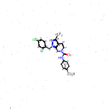 O=C(NC12CCC(C(=O)O)(CC1)CC2)N1CCc2c(C(F)(F)F)nn(Cc3ccc(Cl)cc3F)c2C1